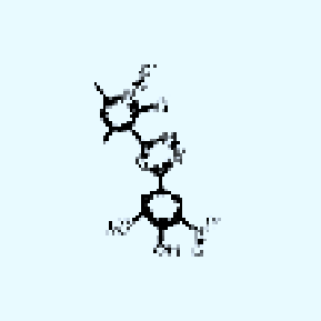 Cc1cc(C)[n+]([O-])c(Cl)c1-c1nnc(-c2cc(O)c(O)c([N+](=O)[O-])c2)o1